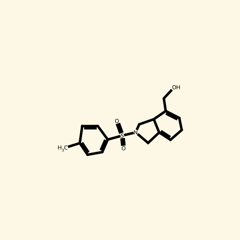 Cc1ccc(S(=O)(=O)N2CC3=CCC=C(CO)C3C2)cc1